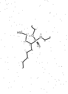 CCCCCC(SSS)P(=S)(OCC)OCC